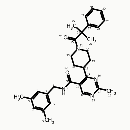 Cc1cc(C)cc(CNC(=O)c2cnc(C)nc2C2CCN(C(=O)C(C)(C)c3ccccc3)CC2)c1